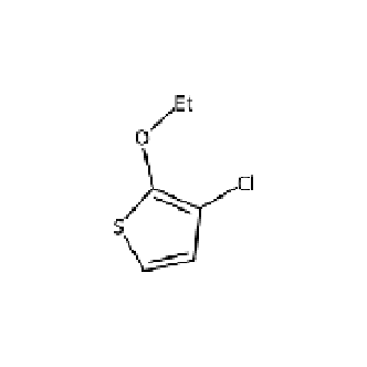 CCOc1sccc1Cl